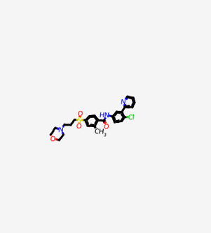 Cc1cc(S(=O)(=O)CCCN2CCOCC2)ccc1C(=O)Nc1ccc(Cl)c(-c2ccccn2)c1